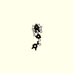 Cc1ccc(C(=O)COc2ccc(N3C(=O)[C@@H]4[C@@H]5C=C[C@@H]([C@H]6C[C@@H]56)[C@@H]4C3=O)c(F)c2)cc1C